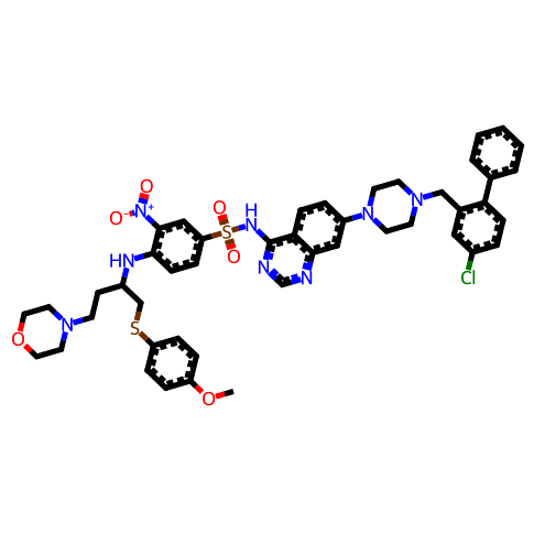 COc1ccc(SCC(CCN2CCOCC2)Nc2ccc(S(=O)(=O)Nc3ncnc4cc(N5CCN(Cc6cc(Cl)ccc6-c6ccccc6)CC5)ccc34)cc2[N+](=O)[O-])cc1